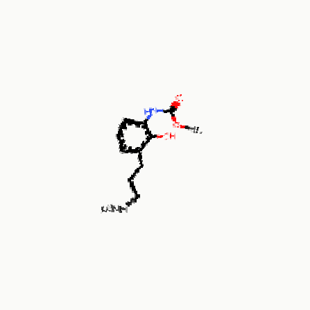 CC(=O)NCCCc1cccc(NC(=O)OC(C)(C)C)c1O